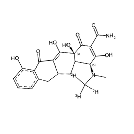 [2H]C([2H])([2H])N(C)[C@@H]1C(O)=C(C(N)=O)C(=O)[C@@]2(O)C(O)=C3C(=O)c4c(O)cccc4CC3CC12